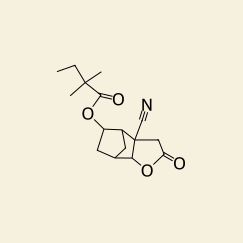 CCC(C)(C)C(=O)OC1CC2CC1C1(C#N)CC(=O)OC21